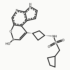 O=S(=O)(CC1CCC1)N[C@H]1C[C@@H](C2=CB(O)Oc3cnc4[nH]ccc4c32)C1